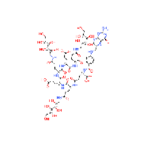 Nc1nc2ncc(CNc3ccc(C(=O)N[C@@H](CCC(=O)N[C@@H](CCC(=O)NC[C@H](O)[C@@H](O)[C@H](O)[C@H](O)CO)C(=O)N[C@H](CCC(=O)O)C(=O)N[C@@H](CCC(=O)NC[C@H](O)[C@@H](O)[C@H](O)[C@H](O)CO)C(=O)N[C@H](CCC(=O)O)C(=O)N[C@H](C=O)CCC(=O)NC[C@H](O)[C@@H](O)[C@H](O)[C@H](O)CO)C(=O)O)cc3)nc2c(=O)[nH]1